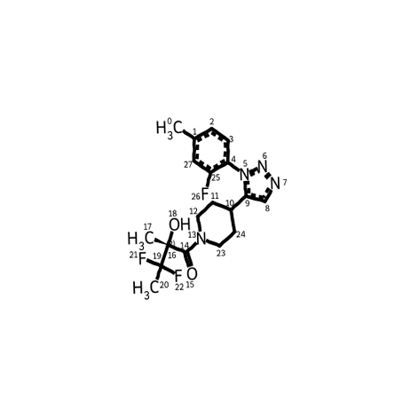 Cc1ccc(-n2nncc2C2CCN(C(=O)[C@@](C)(O)C(C)(F)F)CC2)c(F)c1